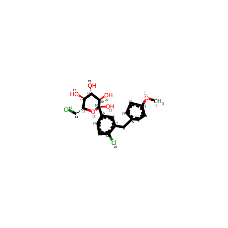 COc1ccc(Cc2cc([C@]3(O)O[C@H](CCl)[C@@H](O)[C@H](O)[C@H]3O)ccc2Cl)cc1